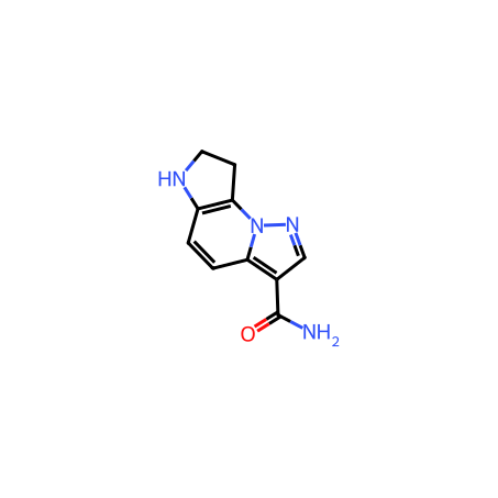 NC(=O)c1cnn2c3c(ccc12)NCC3